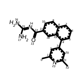 Cc1cc(-c2cccc3ccc(C(=O)N=C(N)N)cc23)cc(C)n1